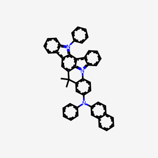 CC1(C)c2cc(N(c3ccccc3)c3ccc4ccccc4c3)ccc2-n2c3ccccc3c3c2c1cc1c2ccccc2n(-c2ccccc2)c13